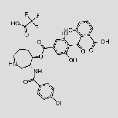 O=C(N[C@@H]1CNCCC[C@H]1OC(=O)c1cc(O)c(C(=O)c2c(O)cccc2C(=O)O)c(O)c1)c1ccc(O)cc1.O=C(O)C(F)(F)F